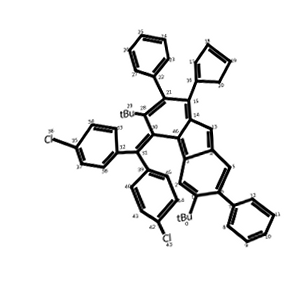 CC(C)(C)c1cc2c(cc1-c1ccccc1)=Cc1c(C3=CC=CC3)c(-c3ccccc3)c(C(C)(C)C)c(=C(c3ccc(Cl)cc3)c3ccc(Cl)cc3)c1=2